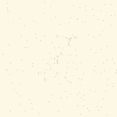 CC(C)OCC[N-]CCN(C)C.[Li+]